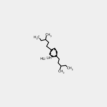 CCC(C)CCc1ccc(CCC(C)CC)cc1.[LiH].[LiH]